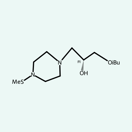 CSN1CCN(C[C@@H](O)COCC(C)C)CC1